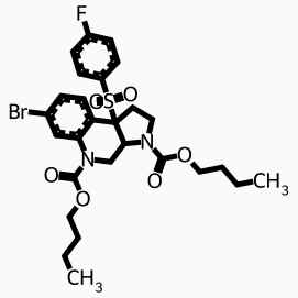 CCCCOC(=O)N1CC2N(C(=O)OCCCC)CCC2(S(=O)(=O)c2ccc(F)cc2)c2ccc(Br)cc21